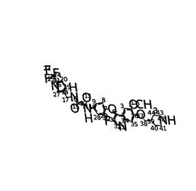 COc1cc2c(Oc3ccc(NC(=O)C(=O)NCc4ccc(C(F)(F)F)nc4)cc3F)ccnc2cc1OCC1CCNCC1